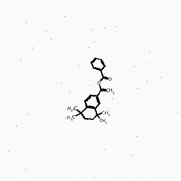 C=C(OC(=O)c1[c]cccc1)c1ccc2c(c1)C(C)(C)CCC2(C)C